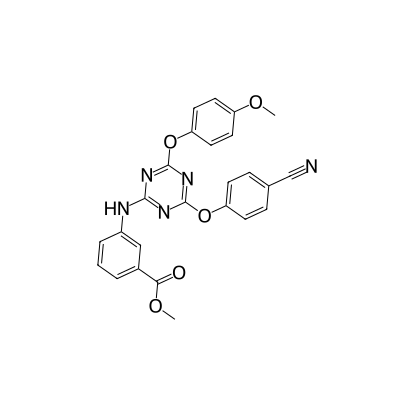 COC(=O)c1cccc(Nc2nc(Oc3ccc(C#N)cc3)nc(Oc3ccc(OC)cc3)n2)c1